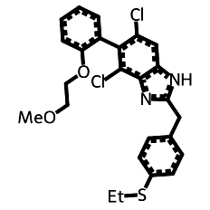 CCSc1ccc(Cc2nc3c(Cl)c(-c4ccccc4OCCOC)c(Cl)cc3[nH]2)cc1